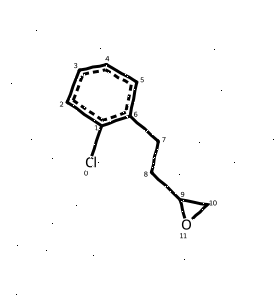 Clc1ccccc1CCC1CO1